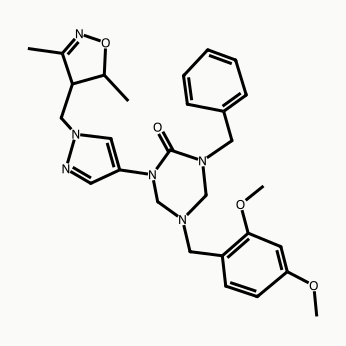 COc1ccc(CN2CN(Cc3ccccc3)C(=O)N(c3cnn(CC4C(C)=NOC4C)c3)C2)c(OC)c1